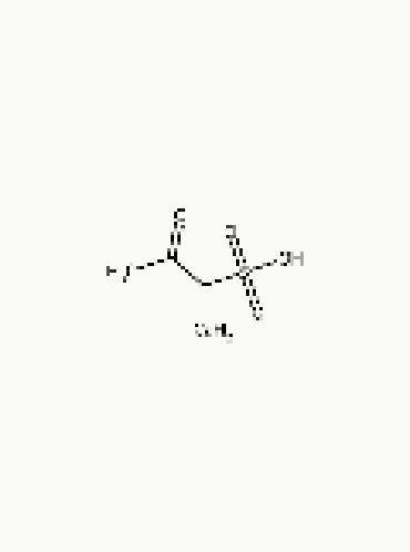 CC(=O)CS(=O)(=O)O.[CaH2]